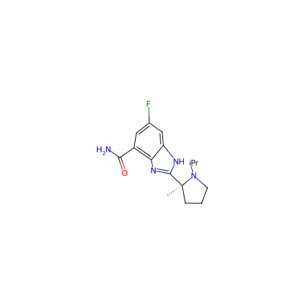 CC(C)N1CCC[C@@]1(C)c1nc2c(C(N)=O)cc(F)cc2[nH]1